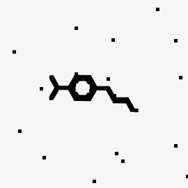 [CH2]C=CCc1ccc(C(C)C)cc1